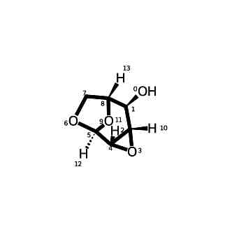 O[C@H]1[C@@H]2O[C@@H]2[C@H]2OC[C@H]1O2